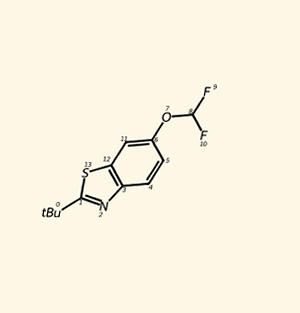 CC(C)(C)c1nc2ccc(OC(F)F)cc2s1